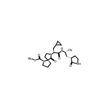 CC(C)(C)OC(=O)N1CCC[C@]12CCN([C@@H](CC1CC1)C(=O)N[C@H](C#N)C[C@@H]1CCNC1=O)C2=O